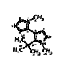 Cn1cncc1-c1cnn(C)c1C(C)(C)C